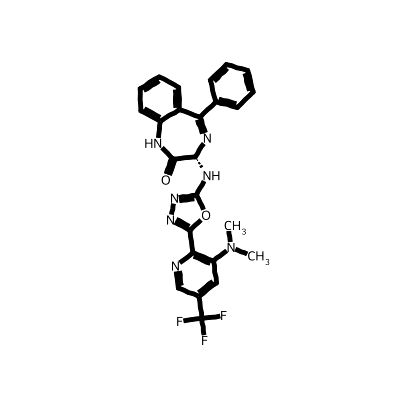 CN(C)c1cc(C(F)(F)F)cnc1-c1nnc(N[C@H]2N=C(c3ccccc3)c3ccccc3NC2=O)o1